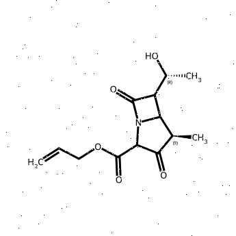 C=CCOC(=O)C1C(=O)[C@H](C)C2C([C@@H](C)O)C(=O)N12